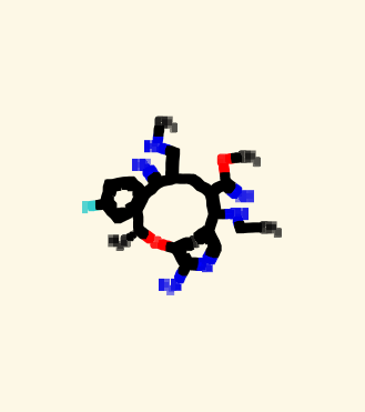 CCN/C1=C(\C(=N)OC)C/C(=C/NC)C(=N)c2ccc(F)cc2[C@@H](C)Oc2cc1cnc2N